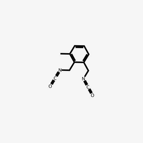 Cc1cccc(CN=C=O)c1CN=C=O